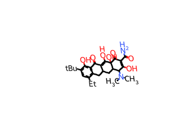 CCc1cc(C(C)(C)C)c(O)c2c1CC1CC3C(N(C)C)C(O)=C(C(N)=O)C(=O)C3(O)C(O)=C1C2=O